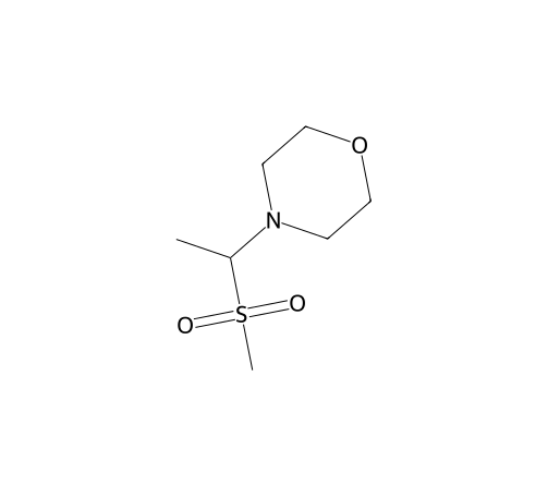 CC(N1CCOCC1)S(C)(=O)=O